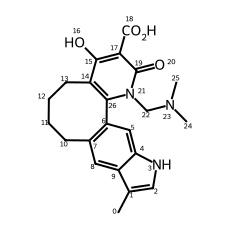 Cc1c[nH]c2cc3c(cc12)CCCCc1c(O)c(C(=O)O)c(=O)n(CN(C)C)c1-3